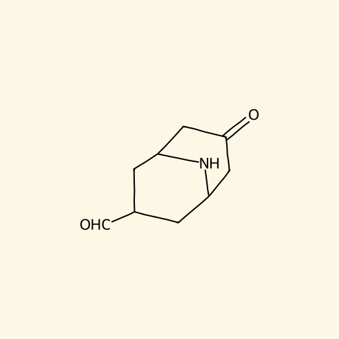 O=CC1CC2CC(=O)CC(C1)N2